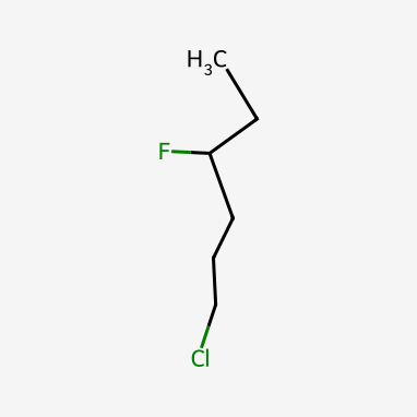 CCC(F)CCCCl